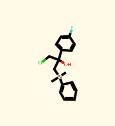 C[Si](C)(CC(O)(CCl)c1ccc(F)cc1)c1ccccc1